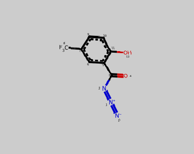 [N-]=[N+]=NC(=O)c1cc(C(F)(F)F)ccc1O